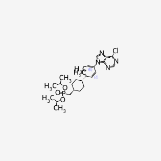 C=C(/C=C\C(=C/C)n1cnc2c(Cl)ncnc21)[C@H]1CC[C@H](CP(=O)(OC(C)C)OC(C)C)CC1